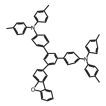 Cc1ccc(N(c2ccc(C)cc2)c2ccc(-c3cc(-c4ccc(N(c5ccc(C)cc5)c5ccc(C)cc5)cc4)cc(-c4ccc5oc6ccccc6c5c4)c3)cc2)cc1